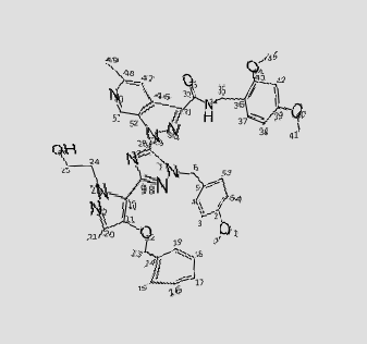 COc1ccc(Cn2nc(-c3c(OCc4ccccc4)c(C)nn3CCO)nc2-n2nc(C(=O)NCc3ccc(OC)cc3OC)c3cc(C)ncc32)cc1